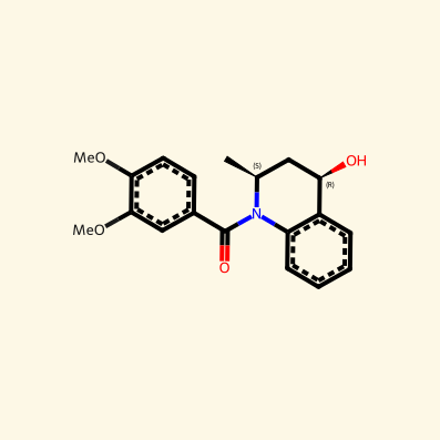 COc1ccc(C(=O)N2c3ccccc3[C@H](O)C[C@@H]2C)cc1OC